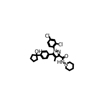 Cc1c(C(=O)NN2CCCCC2)nn(-c2ccc(Cl)cc2Cl)c1-c1ccc(C2(O)CCCC2)cc1